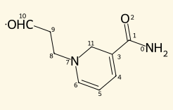 NC(=O)C1=CC=CN(CC[C]=O)C1